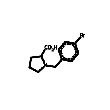 O=C(O)C1CCCN1Cc1ccc(Br)cc1